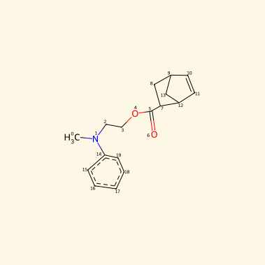 CN(CCOC(=O)C1CC2C=CC1C2)c1ccccc1